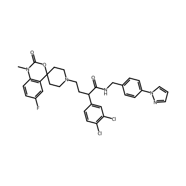 CN1C(=O)OC2(CCN(CCC(C(=O)NCc3ccc(-n4cccn4)cc3)c3ccc(Cl)c(Cl)c3)CC2)c2cc(F)ccc21